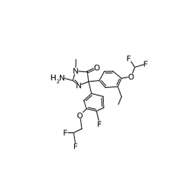 CCc1cc(C2(c3ccc(F)c(OCC(F)F)c3)N=C(N)N(C)C2=O)ccc1OC(F)F